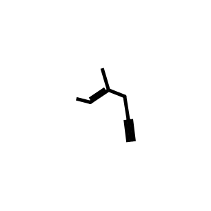 C#CCC(C)=CC